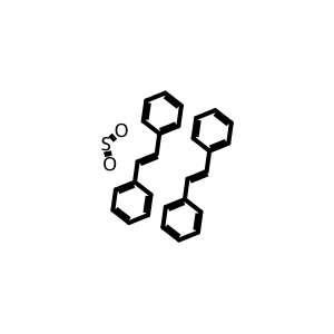 C(=Cc1ccccc1)c1ccccc1.C(=Cc1ccccc1)c1ccccc1.O=S=O